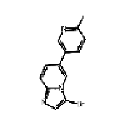 Cc1ccc(-c2ccc3ncc(Br)n3c2)cn1